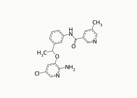 Cc1cncc(C(=O)Nc2cccc(C(C)Oc3cc(Cl)cnc3N)c2)c1